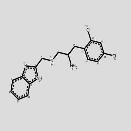 NC(CNCc1nc2ccccc2[nH]1)Cc1ccc(Cl)cc1Cl